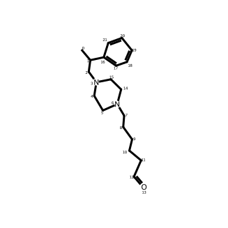 CC(CN1CCN(CCCCC[C]=O)CC1)c1ccccc1